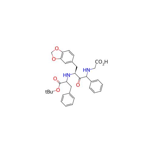 CC(C)(C)OC(=O)C(Cc1ccccc1)N[C@@H](Cc1ccc2c(c1)OCO2)C(=O)C(NCC(=O)O)c1ccccc1